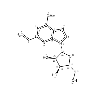 C=Cc1nc(OC)c2ncn([C@@H]3O[C@H](CO)[C@@H](O)[C@H]3O)c2n1